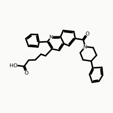 O=C(O)CCCCc1cc2cc(C(=O)N3CCC(c4ccccc4)CC3)ccc2nc1-c1ccccc1